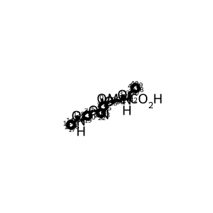 COc1cc2c(Oc3ccc(NC(=O)c4ccccc4)cc3)ccnc2cc1OCCCC(=O)NC(Cc1ccccc1)C(=O)O